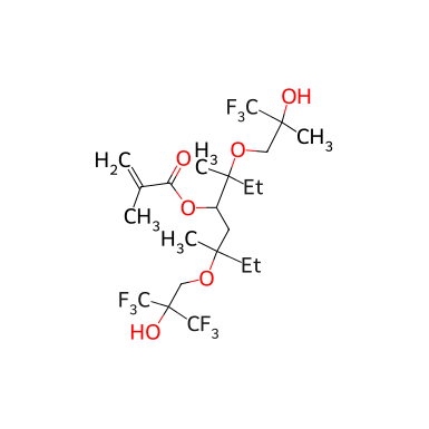 C=C(C)C(=O)OC(CC(C)(CC)OCC(O)(C(F)(F)F)C(F)(F)F)C(C)(CC)OCC(C)(O)C(F)(F)F